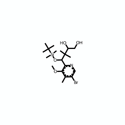 COc1c(C(O[Si](C)(C)C(C)(C)C)C(C)(C)C(O)CO)ncc(Br)c1C